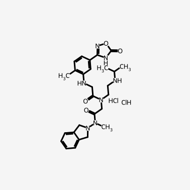 Cc1ccc(-c2noc(=O)[nH]2)cc1NCC(=O)N(CCNC(C)C)CC(=O)N(C)N1Cc2ccccc2C1.Cl.Cl